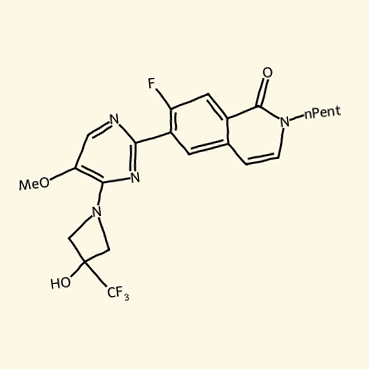 CCCCCn1ccc2cc(-c3ncc(OC)c(N4CC(O)(C(F)(F)F)C4)n3)c(F)cc2c1=O